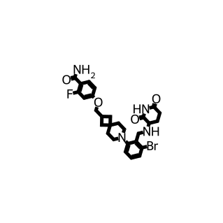 NC(=O)c1ccc(OCC2CC3(CCN(c4cccc(Br)c4CNC4CCC(=O)NC4=O)CC3)C2)cc1F